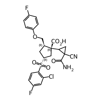 N#CC1(C(N)=O)CC1[C@]1(C(=O)O)C[C@H](S(=O)(=O)c2ccc(F)cc2Cl)C[C@H]1COc1ccc(F)cc1